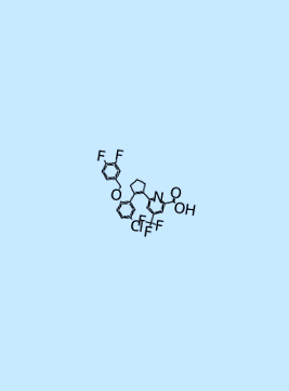 O=C(O)c1cc(C(F)(F)F)cc(C2=C(c3cc(Cl)ccc3OCc3ccc(F)c(F)c3)CCC2)n1